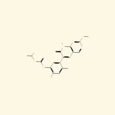 CNc1ncc2cc(-c3cc(NC(=O)NC(C)C)c(F)cc3C)c(=O)n(C)c2n1